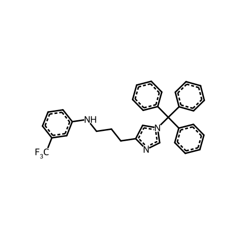 FC(F)(F)c1cccc(NCCCc2cn(C(c3ccccc3)(c3ccccc3)c3ccccc3)cn2)c1